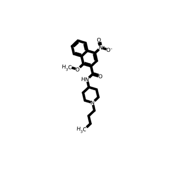 CCCCN1CCC(NC(=O)c2cc([N+](=O)[O-])c3ccccc3c2OC)CC1